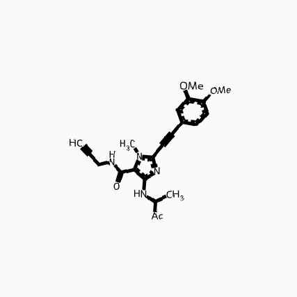 C#CCNC(=O)c1c(NC(C)C(C)=O)nc(C#Cc2ccc(OC)c(OC)c2)n1C